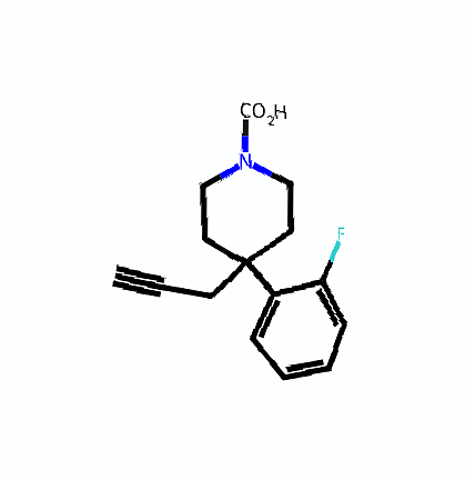 C#CCC1(c2ccccc2F)CCN(C(=O)O)CC1